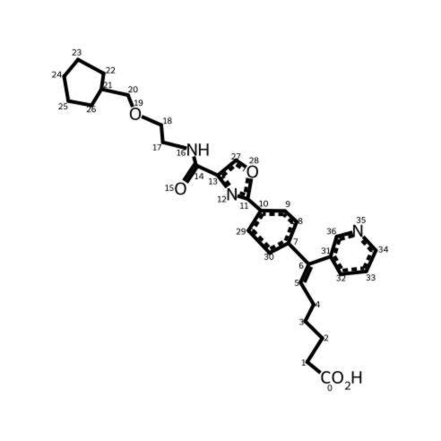 O=C(O)CCCCC=C(c1ccc(-c2nc(C(=O)NCCOCC3CCCCC3)co2)cc1)c1cccnc1